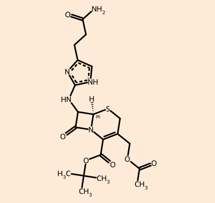 CC(=O)OCC1=C(C(=O)OC(C)(C)C)N2C(=O)C(Nc3nc(CCC(N)=O)c[nH]3)[C@H]2SC1